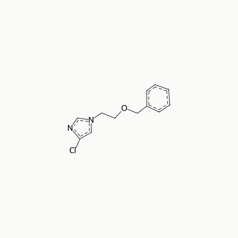 Clc1cn(CCOCc2ccccc2)cn1